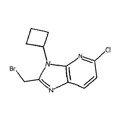 Clc1ccc2nc(CBr)n(C3CCC3)c2n1